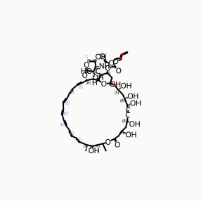 C=CCOC(=O)N[C@@H]1[C@H](O)[C@H](O[C@H]2/C=C/C=C/C=C/C=C/C=C/C=C/C=C/[C@H](C)[C@@H](O)[C@@H](C)C(C)OC(=O)C[C@H](O)C[C@H](O)CC[C@@H](O)[C@H](O)C[C@H](O)C[C@]3(O)C[C@H](OC(=O)OCC=C)[C@@H](C(=O)O)[C@H](C2)O3)O[C@H](C)[C@H]1O